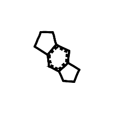 [c]1c2c(cc3c1CCC3)CCC2